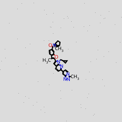 Cc1c(-c2cc3ccc(-c4ccn5c(C)nnc5c4)nc3n2CC2CC2)oc2cc(C(=O)N3CC4CCC3[C@@H]4C)ccc12